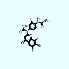 CC(C)(C)C(=O)Nc1ccc(N(C(=O)C(C)(C)C)c2cc(=O)c3cc(F)c(Br)c(F)c3o2)cc1F